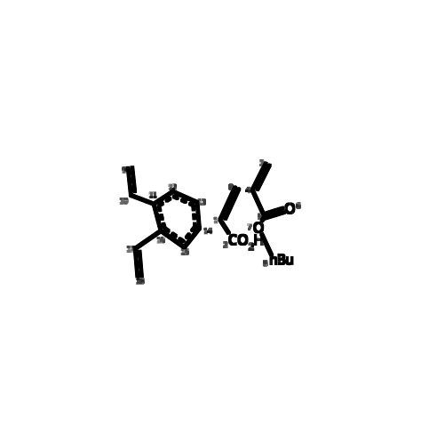 C=CC(=O)O.C=CC(=O)OCCCC.C=Cc1ccccc1C=C